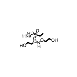 CCS(=O)(=O)O.OCCONOCCO.[NaH]